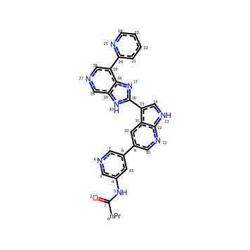 CCCC(=O)Nc1cncc(-c2cnc3[nH]cc(-c4nc5c(-c6ccccn6)cncc5[nH]4)c3c2)c1